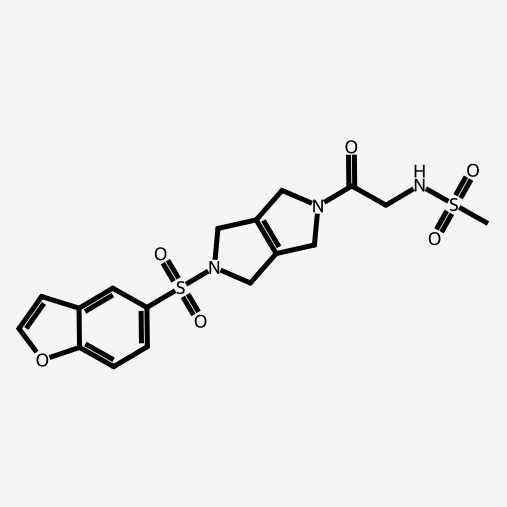 CS(=O)(=O)NCC(=O)N1CC2=C(C1)CN(S(=O)(=O)c1ccc3occc3c1)C2